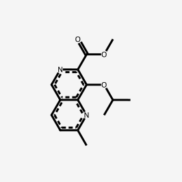 COC(=O)c1ncc2ccc(C)nc2c1OC(C)C